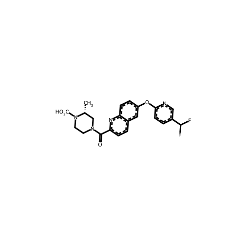 C[C@@H]1CN(C(=O)c2ccc3cc(Oc4ccc(C(F)F)cn4)ccc3n2)CCN1C(=O)O